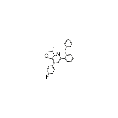 CC(C)c1nc(-c2ccccc2Cc2ccccc2)cc(-c2ccc(F)cc2)c1C=O